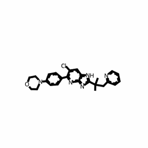 CC(C)(Cc1ccccn1)c1nc2nc(-c3ccc(N4CCOCC4)cc3)c(Cl)cc2[nH]1